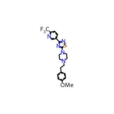 COc1ccc(CCN2CCN(c3nc(-c4ccc(C(F)(F)F)nc4)ns3)CC2)cc1